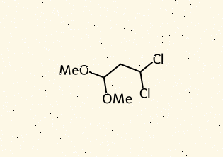 COC(CC(Cl)Cl)OC